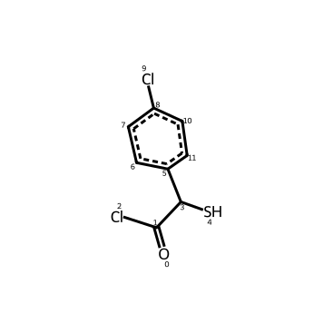 O=C(Cl)C(S)c1ccc(Cl)cc1